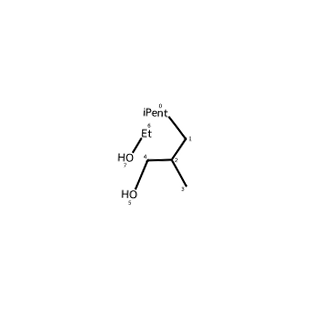 CCCC(C)CC(C)CO.CCO